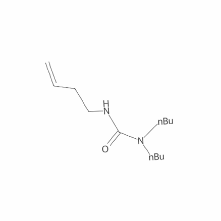 C=CCCNC(=O)N(CCCC)CCCC